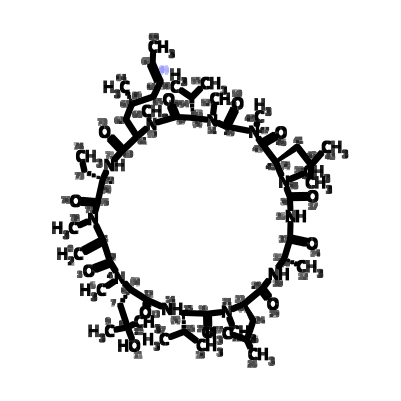 C=C1C(=O)N(C)[C@@H](CC(C)(C)O)C(=O)N[C@@H](C(C)C)C(=O)N(C)[C@H](CC(C)C)C(=O)N[C@@H](C)C(=O)NC(=O)N(C)[C@H](CC(C)C)C(=O)N(C)C(=O)N(C)[C@@H](C(C)C)C(=O)N(C)C(C[C@H](C)C/C=C/C)C(=O)N[C@@H](CC)C(=O)N1C